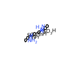 CCCc1cc(-c2ccc(/N=N/c3c(S(=O)(=O)O)cc4ccccc4c3N)c(CCC)c2)ccc1/N=N/c1c(S(=O)(=O)O)cc2ccccc2c1N